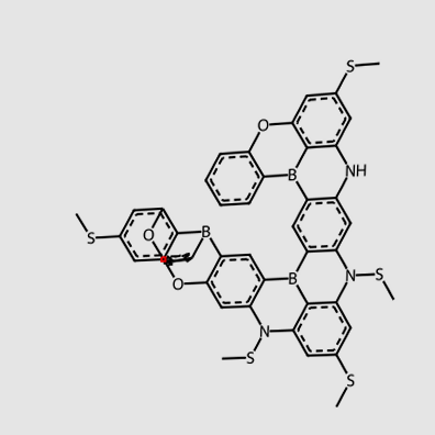 CSc1cc2c3c(c1)Oc1ccccc1B3c1cc3c(cc1N2)N(SC)c1cc(SC)cc2c1B3c1cc3c(cc1N2SC)Oc1cc(SC)cc2c1B3c1ccccc1O2